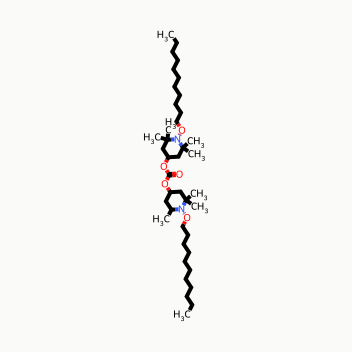 CCCCCCCCCCCON1C(C)CC(OC(=O)OC2CC(C)(C)N(OCCCCCCCCCCC)C(C)(C)C2)CC1(C)C